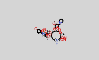 CC[C@H]1OC(=O)[C@H](C)[C@@H](O[C@H]2C[C@@](C)(OC)[C@](O)(CN3CCCCC3)[C@H](C)O2)[C@H](C)[C@@H](O[C@@H]2O[C@H](C)C[C@H]3[C@H]2OS(=O)(=O)N3Cc2ccc(OC)cc2)[C@](C)(O)C[C@@H](C)CN[C@H](C)[C@@H](O)[C@]1(C)O